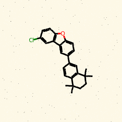 CC1(C)CCC(C)(C)c2cc(-c3ccc4oc5ccc(Cl)cc5c4c3)ccc21